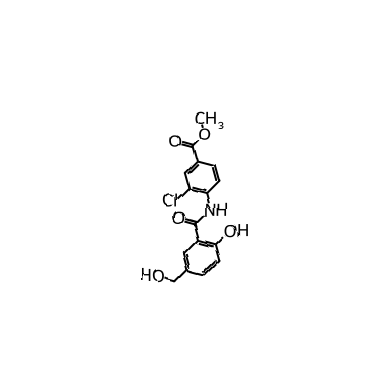 COC(=O)c1ccc(NC(=O)c2cc(CO)ccc2O)c(Cl)c1